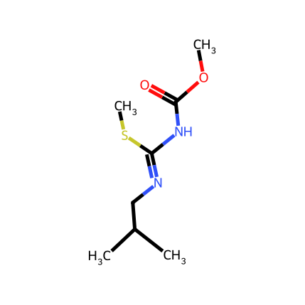 COC(=O)N/C(=N/CC(C)C)SC